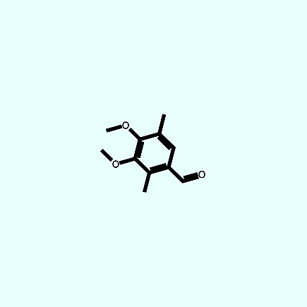 COc1c(C)cc(C=O)c(C)c1OC